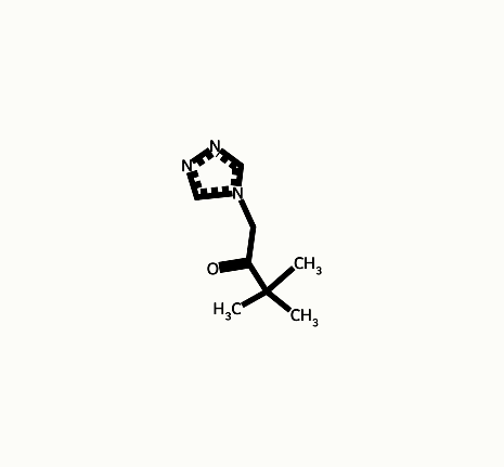 CC(C)(C)C(=O)Cn1cnnc1